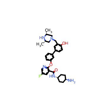 C[C@@H]1CN(Cc2cc(-c3cccc(Oc4ncc(F)cc4C(=O)N[C@H]4CC[C@H](N)CC4)c3)ccc2O)C[C@H](C)N1